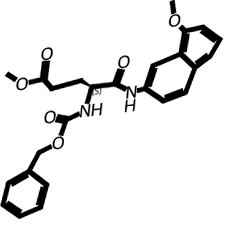 COC(=O)CC[C@H](NC(=O)OCc1ccccc1)C(=O)Nc1ccc2cccc(OC)c2c1